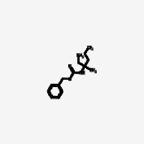 CC(CN)(CCC(F)(F)F)NC(=O)OCc1ccccc1